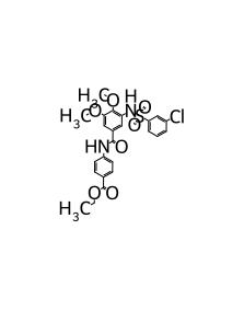 CCOC(=O)c1ccc(NC(=O)c2cc(NS(=O)(=O)c3cccc(Cl)c3)c(OC)c(OC)c2)cc1